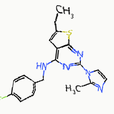 CCc1cc2c(NCc3ccc(F)cc3)nc(-n3ccnc3C)nc2s1